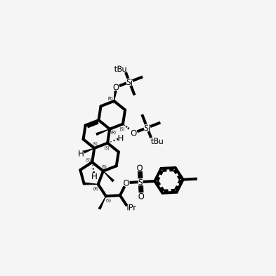 Cc1ccc(S(=O)(=O)OC(C(C)C)[C@@H](C)[C@H]2CC[C@H]3[C@@H]4CC=C5C[C@@H](O[Si](C)(C)C(C)(C)C)C[C@H](O[Si](C)(C)C(C)(C)C)[C@]5(C)[C@H]4CC[C@]23C)cc1